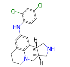 Clc1ccc(Nc2cc3c4c(c2)[C@@H]2CNC[C@@H]2CN4CCC3)c(Cl)c1